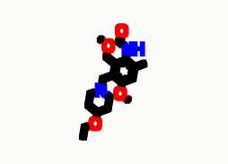 CCOC1CCN(Cc2c(OC)cc(C)c(NC=O)c2COC)CC1